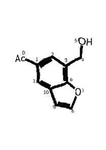 CC(=O)c1cc(CO)c2occc2c1